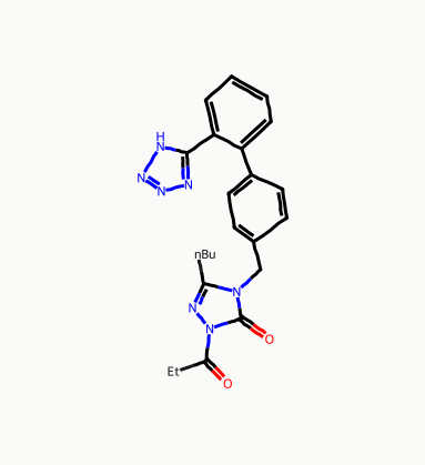 CCCCc1nn(C(=O)CC)c(=O)n1Cc1ccc(-c2ccccc2-c2nnn[nH]2)cc1